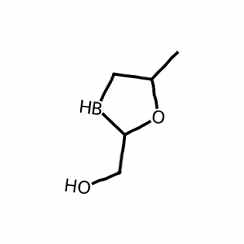 CC1CBC(CO)O1